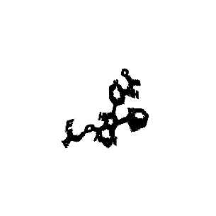 CC(=O)Nc1cc(-c2[nH]c3c(OCC(F)F)ncnc3c2-c2ccccn2)ccn1